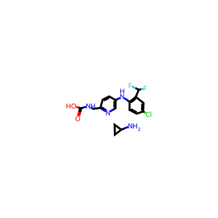 NC1CC1.O=C(O)NCc1ccc(Nc2ccc(Cl)cc2C(F)F)cn1